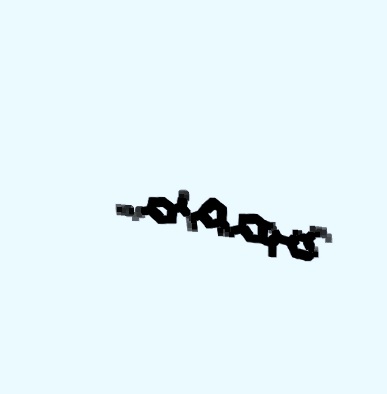 Cc1c(-c2ccnc(N)n2)sc2ccc(Nc3cccc(NC(=O)c4ccc(C(=O)O)cc4)c3)cc12